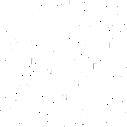 FC(F)(F)Cc1nnc2n1N=[C]CC2